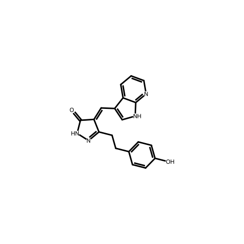 O=C1NN=C(CCc2ccc(O)cc2)C1=Cc1c[nH]c2ncccc12